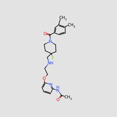 CC(=O)Nc1cccc(OCCNCC2(F)CCN(C(=O)c3ccc(C)c(C)c3)CC2)n1